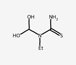 CCN(C(N)=S)C(O)O